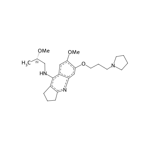 COc1cc2c(NC[C@H](C)OC)c3c(nc2cc1OCCCN1CCCC1)CCC3